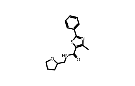 Cc1nc(-c2ccccc2)sc1C(=O)NCC1CCCO1